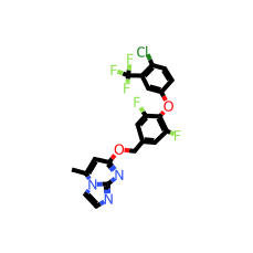 Cc1cc(OCc2cc(F)c(Oc3ccc(Cl)c(C(F)(F)F)c3)c(F)c2)nc2nccn12